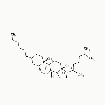 CCCCC[CH][C@H]1CC[C@@]2(C)C(=CC[C@H]3[C@@H]4CC[C@H]([C@H](C)CCCC(C)C)[C@@]4(C)CC[C@@H]32)C1